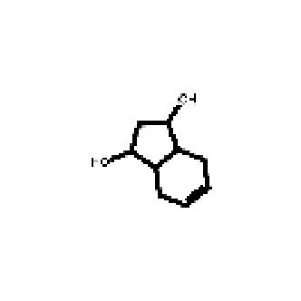 OC1CC(O)C2CC=CCC12